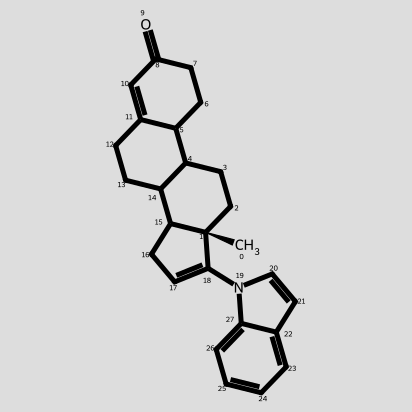 C[C@]12CCC3C4CCC(=O)C=C4CCC3C1CC=C2n1ccc2ccccc21